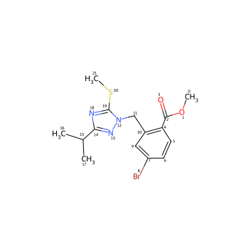 COC(=O)c1ccc(Br)cc1Cn1nc(C(C)C)nc1SC